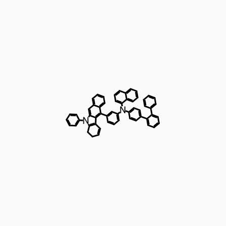 C1=Cc2c(n(-c3ccccc3)c3cc4ccccc4c(-c4cccc(N(c5ccc(-c6ccccc6-c6ccccc6)cc5)c5cccc6ccccc56)c4)c23)CC1